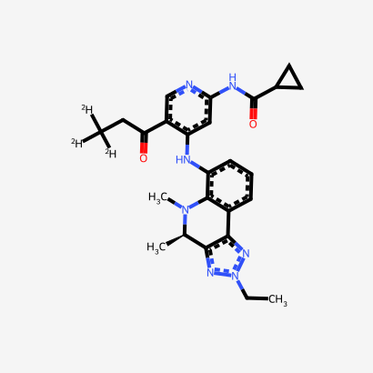 [2H]C([2H])([2H])CC(=O)c1cnc(NC(=O)C2CC2)cc1Nc1cccc2c1N(C)[C@H](C)c1nn(CC)nc1-2